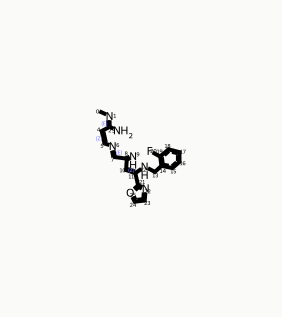 C\N=C(N)/C=C\N=C\C(=N)/C=C(\NCc1ccccc1F)c1ncco1